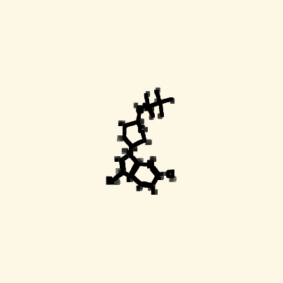 CC(C)(C)[Si](C)(C)OC1CCC(n2cc(Br)c3cnc(Cl)nc32)CC1